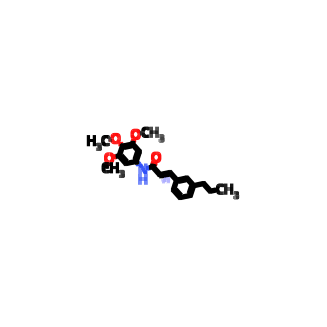 CCCc1cccc(/C=C/C(=O)Nc2cc(OC)c(OC)c(OC)c2)c1